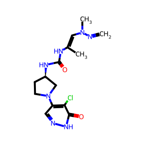 C=NN(C)/C=C(\C)NC(=O)N[C@@H]1CCN(c2cn[nH]c(=O)c2Cl)C1